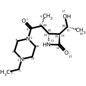 CCN1CCN(C(=O)[C@H](C)[C@H]2NC(=O)[C@@H]2[C@@H](C)O)CC1